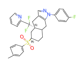 Cc1ccc(S(=O)(=O)[C@@H]2CCC3Cc4c(cnn4-c4ccc(F)cc4)C[C@]3(C(F)(F)c3ccccn3)C2)cc1